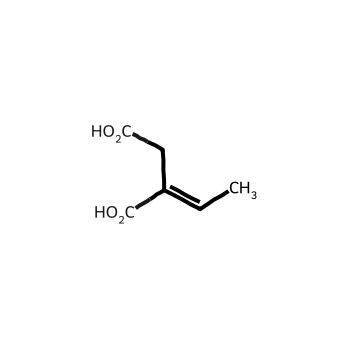 C/C=C(\CC(=O)O)C(=O)O